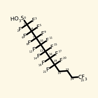 O=S(=O)(O)C(F)(F)C(F)(F)C(F)(F)C(F)(F)C(F)(F)C(F)(F)C(F)(F)CCCC(F)(F)F